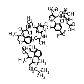 CC1COc2ccccc2N1C(=O)C(Cl)Cl.CCNc1nc(Cl)nc(NC(C)C)n1.CCc1cccc(C)c1N(C(=O)CCl)C(C)COC.C[S+](C)C.Nc1c([N+](=O)[O-])cnn1-c1c(Cl)cc(C(F)(F)F)cc1Cl.O=C(O)CNCP(=O)([O-])O